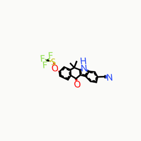 CC1(C)c2cc(OSC(F)(F)F)ccc2C(=O)c2c1[nH]c1cc(C#N)ccc21